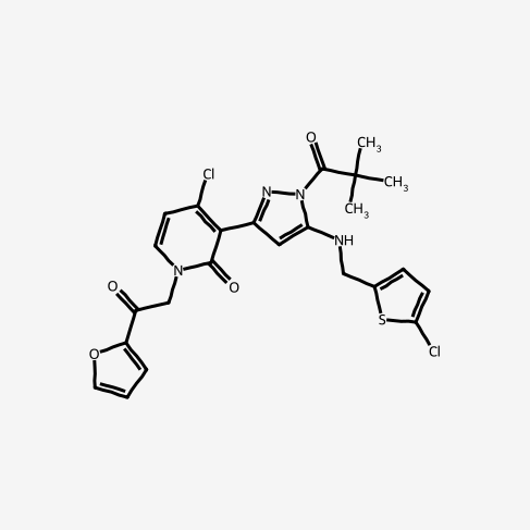 CC(C)(C)C(=O)n1nc(-c2c(Cl)ccn(CC(=O)c3ccco3)c2=O)cc1NCc1ccc(Cl)s1